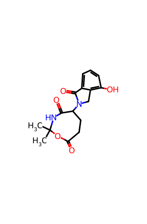 CC1(C)NC(=O)C(N2Cc3c(O)cccc3C2=O)CCC(=O)O1